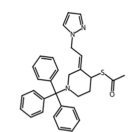 CC(=O)SC1CCN(C(c2ccccc2)(c2ccccc2)c2ccccc2)C/C1=C\Cn1cccn1